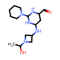 CC(O)N1CC(NC2CC(C=O)NC(N3CCCCC3)N2)C1